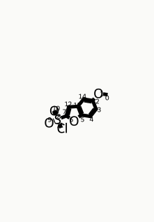 COc1ccc2oc(S(=O)(=O)Cl)cc2c1